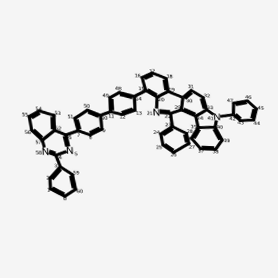 c1ccc(-c2nc(-c3ccc(-c4ccc(-c5cccc6c5nc(-c5ccccc5)c5c6ccc6c5c5ccccc5n6-c5ccccc5)cc4)cc3)c3ccccc3n2)cc1